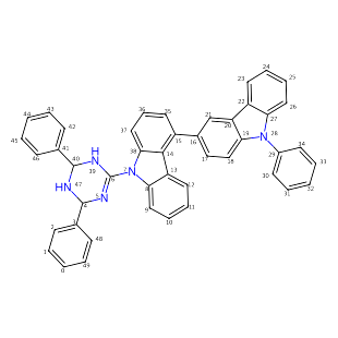 c1ccc(C2N=C(n3c4ccccc4c4c(-c5ccc6c(c5)c5ccccc5n6-c5ccccc5)cccc43)NC(c3ccccc3)N2)cc1